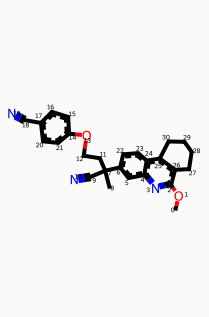 COc1nc2cc(C(C)(C#N)CCOc3ccc(C#N)cc3)ccc2c2c1CCCC2